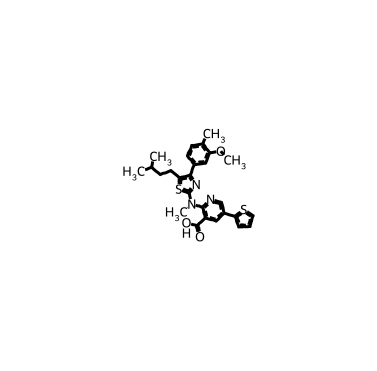 COc1cc(-c2nc(N(C)c3ncc(-c4cccs4)cc3C(=O)O)sc2CCC(C)C)ccc1C